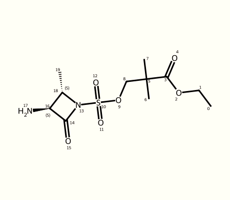 CCOC(=O)C(C)(C)COS(=O)(=O)N1C(=O)[C@@H](N)[C@@H]1C